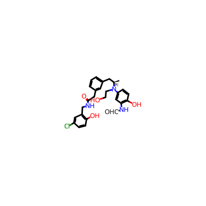 C[C@H](Cc1cccc(CC(=O)NCc2cc(Cl)ccc2O)c1)N(CCO)c1ccc(O)c(NC=O)c1